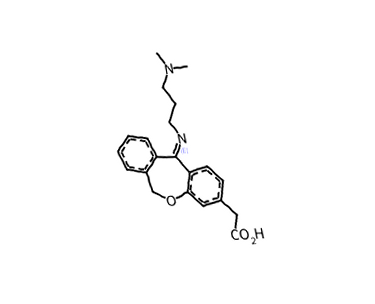 CN(C)CCC/N=C1\c2ccccc2COc2cc(CC(=O)O)ccc21